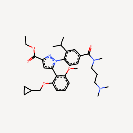 CCOC(=O)c1cc(-c2c(OC)cccc2OCC2CC2)n(-c2ccc(C(=O)N(C)CCCN(C)C)cc2C(C)C)n1